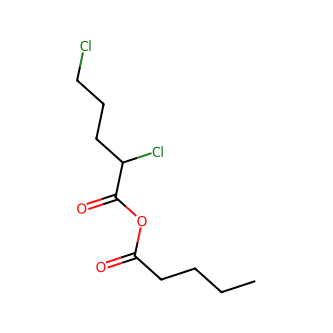 CCCCC(=O)OC(=O)C(Cl)CCCCl